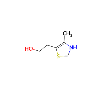 CC1=C(CCO)SCN1